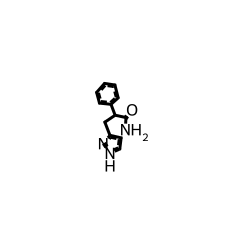 NC(=O)C(Cc1cc[nH]n1)c1ccccc1